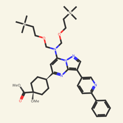 COC(=O)[C@]1(OC)CC[C@@H](c2cc(N(COCC[Si](C)(C)C)COCC[Si](C)(C)C)n3ncc(-c4ccc(-c5ccccc5)nc4)c3n2)CC1